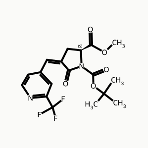 COC(=O)[C@@H]1CC(=Cc2ccnc(C(F)(F)F)c2)C(=O)N1C(=O)OC(C)(C)C